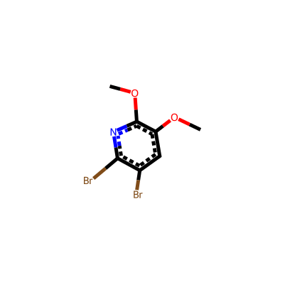 COc1cc(Br)c(Br)nc1OC